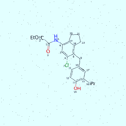 CCOC(=O)C(=O)Nc1cc(Cl)c(Cc2ccc(O)c(C(C)C)c2)c2c1CCC2